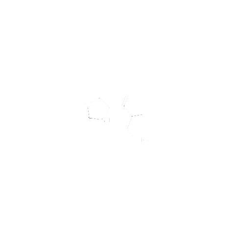 CCCCCCCC(C)C(=O)[C@H]1COC(=O)N1